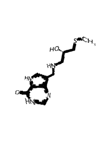 CSC[C@@H](O)CNCc1c[nH]c2c(=O)[nH]cnc12